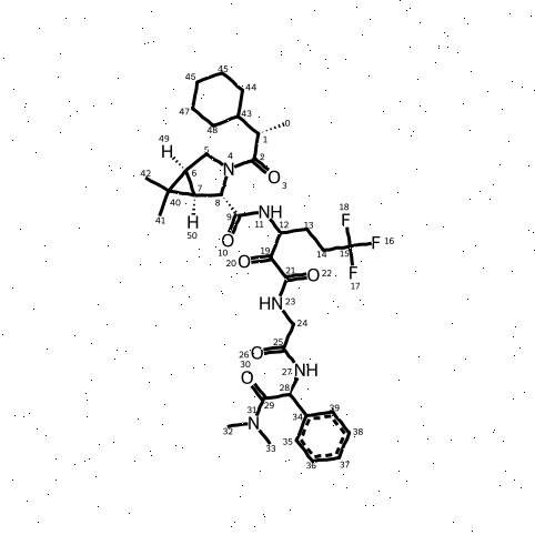 C[C@H](C(=O)N1C[C@H]2[C@@H]([C@H]1C(=O)NC(CCC(F)(F)F)C(=O)C(=O)NCC(=O)N[C@H](C(=O)N(C)C)c1ccccc1)C2(C)C)C1CCCCC1